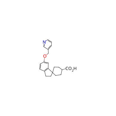 O=C(O)C1CCC2(CCc3ccc(OCc4cccnc4)cc32)CC1